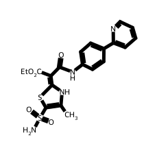 CCOC(=O)C(C(=O)Nc1ccc(-c2ccccn2)cc1)=C1NC(C)=C(S(N)(=O)=O)S1